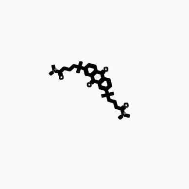 CN(C)C(=O)CCCC(C)(C)c1ccc2c(c1)C(=O)c1cc(C(C)(C)CCCC(=O)N(C)C)ccc1C2=O